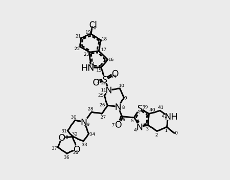 CC1Cc2nc(C(=O)N3CCN(S(=O)(=O)c4cc5cc(Cl)ccc5[nH]4)CC3CCN3CCC4(CC3)OCCO4)sc2CN1